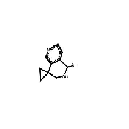 [2H]C1NCC2(CC2)c2cnccc21